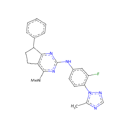 CNc1nc(Nc2ccc(-n3ncnc3C)c(F)c2)nc2c1CCC2c1ccccc1